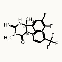 CN1C(=N)N[C@](C)(c2ccc(F)c(F)c2)[C@@H](c2ccc(C(F)(F)F)cc2)C1=O